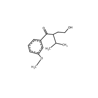 COc1cccc(C(=O)C(CCO)C(C)C)c1